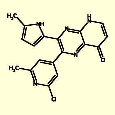 Cc1cc(-c2nc3c(=O)cc[nH]c3nc2-c2ccc(C)[nH]2)cc(Cl)n1